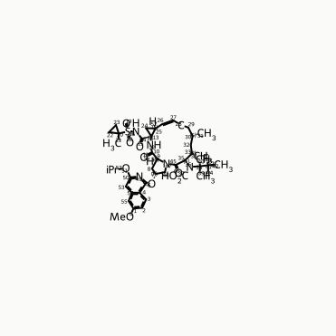 COc1ccc2c(O[C@@H]3C[C@H]4C(=O)N[C@]5(C(=O)NS(=O)(=O)C6(C)CC6)C[C@H]5C=CCC[C@H](C)C[C@@H](C)[C@H](N(C(=O)O)C(C)(C)C(C)(F)F)C(=O)N4C3)nc(OC(C)C)cc2c1